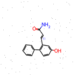 NC(=O)/C=C/c1cc(O)ccc1-c1ccccc1